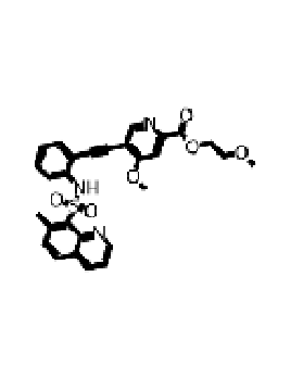 COCCOC(=O)c1cc(OC)c(C#Cc2ccccc2NS(=O)(=O)c2c(C)ccc3cccnc23)cn1